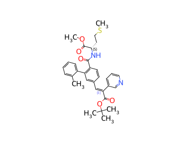 COC(=O)[C@H](CCSC)NC(=O)c1ccc(/C=C(/C(=O)OC(C)(C)C)c2cccnc2)cc1-c1ccccc1C